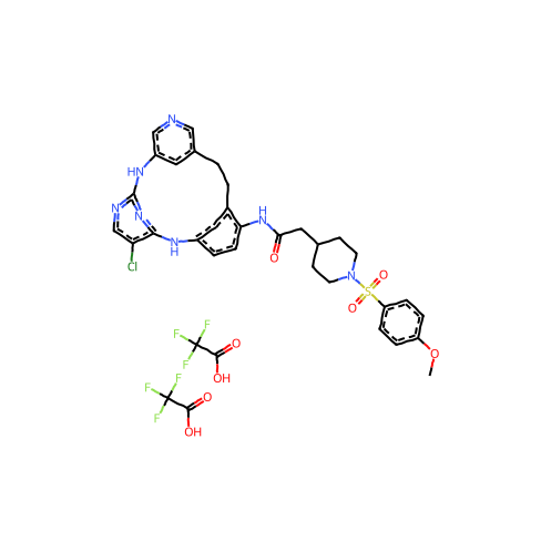 COc1ccc(S(=O)(=O)N2CCC(CC(=O)Nc3ccc4cc3CCc3cncc(c3)Nc3ncc(Cl)c(n3)N4)CC2)cc1.O=C(O)C(F)(F)F.O=C(O)C(F)(F)F